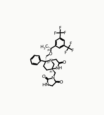 C[C@@H](OC[C@@]1(c2ccccc2)CC[C@]2(CN3C(=O)CNC3=O)CN1CC(=O)N2)c1cc(C(F)(F)F)cc(C(F)(F)F)c1